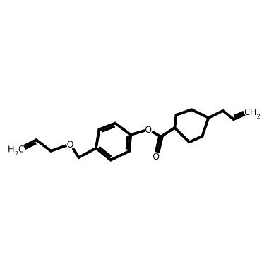 C=CCOCc1ccc(OC(=O)C2CCC(CC=C)CC2)cc1